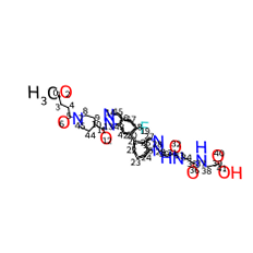 CC(=O)CCC(=O)N1CCC(C(=O)n2ncc3cc(F)c(-c4cccc5c4cnn5CC(=O)NCC(=O)NCC(=O)O)cc32)CC1